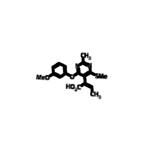 CC=C(C(=O)O)c1c(Oc2cccc(OC)c2)nc(C)nc1SC